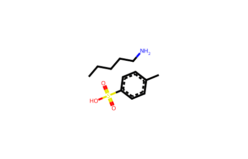 CCCCCN.Cc1ccc(S(=O)(=O)O)cc1